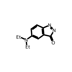 CCN(CC)c1ccc2c(c1)C(=O)N=N2